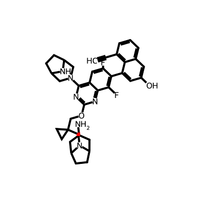 C#Cc1cccc2cc(O)cc(-c3c(F)cc4c(N5CC6CCC(C5)N6)nc(OCC5(CN6C7CCC6CC(N)C7)CC5)nc4c3F)c12